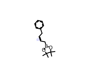 CC1(C)OB(C/C=C\Cc2ccccc2)OC1(C)C